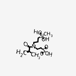 C=C(C)C(=O)N(CCC[Si](C)(O)O)CCS(=O)(=O)O